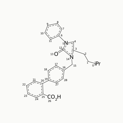 CC(C)CCc1cn(-c2ccccc2)c(=O)n1Cc1ccc(-c2ccccc2C(=O)O)cc1